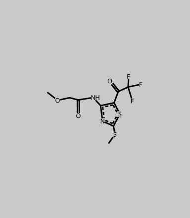 COCC(=O)Nc1nc(SC)sc1C(=O)C(F)(F)F